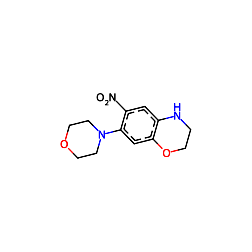 O=[N+]([O-])c1cc2c(cc1N1CCOCC1)OCCN2